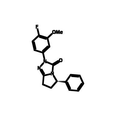 COc1cc(-n2nc3n(c2=O)[C@H](c2ccccc2)CC3)ccc1F